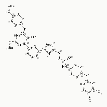 CC(C)(C)OC(=O)N[C@@H](Cc1ccc(OC(C)(C)C)cc1)C(=O)Nc1cccc(-c2csc(SCC(=O)NC3CCN(Cc4ccc(Cl)c(Cl)c4)CC3)n2)c1